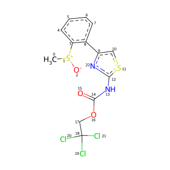 C[S+]([O-])c1ccccc1-c1csc(NC(=O)OCC(Cl)(Cl)Cl)n1